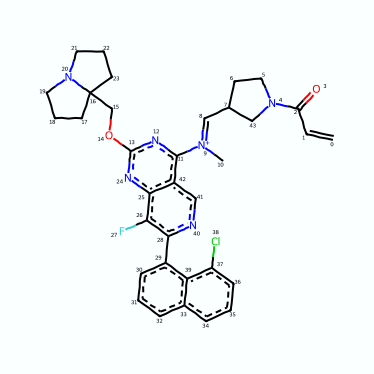 C=CC(=O)N1CCC(/C=[N+](\C)c2nc(OCC34CCCN3CCC4)nc3c(F)c(-c4cccc5cccc(Cl)c45)ncc23)C1